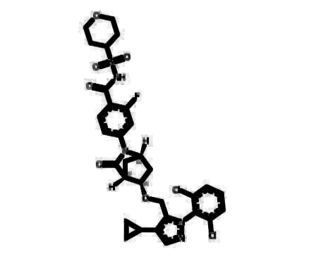 O=C(NS(=O)(=O)C1CCOCC1)c1ccc(N2C(=O)[C@@H]3C[C@H]2C[C@H]3OCc2c(C3CC3)cnn2-c2c(Cl)cccc2Cl)cc1F